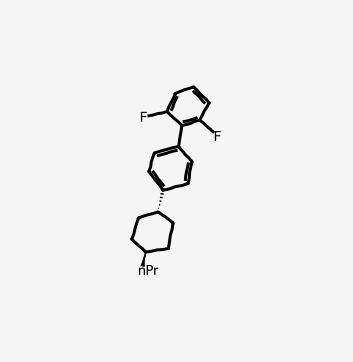 CCC[C@H]1CC[C@H](c2ccc(-c3c(F)cccc3F)cc2)CC1